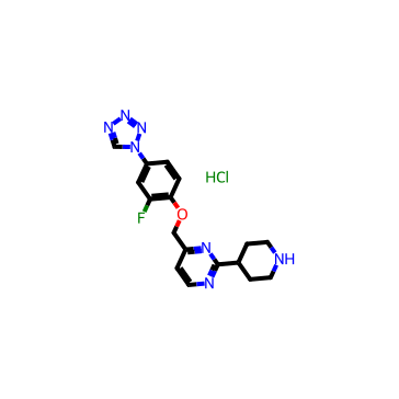 Cl.Fc1cc(-n2cnnn2)ccc1OCc1ccnc(C2CCNCC2)n1